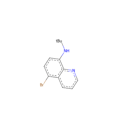 CC(C)(C)Nc1ccc(Br)c2cccnc12